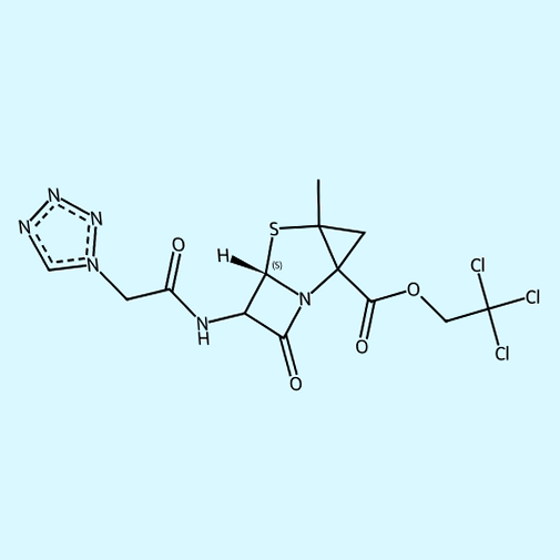 CC12CC1(C(=O)OCC(Cl)(Cl)Cl)N1C(=O)C(NC(=O)Cn3cnnn3)[C@@H]1S2